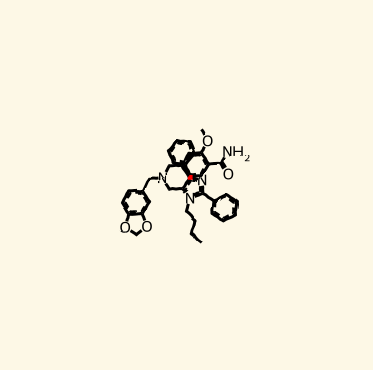 CCCCn1c(-c2ccccc2)nc(-c2ccccc2)c1CN(Cc1ccc2c(c1)OCO2)Cc1ccc(C(N)=O)c(OC)c1